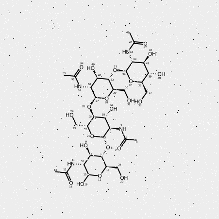 CC(=O)N[C@H]1[C@H](O[C@H]2[C@H](O)[C@@H](NC(C)=O)C(O)O[C@@H]2CO)O[C@H](CO)[C@@H](O[C@@H]2O[C@H](CO)[C@@H](O[C@@H]3O[C@H](CO)[C@@H](O)[C@H](O)[C@H]3NC(C)=O)[C@H](O)[C@H]2NC(C)=O)[C@@H]1O